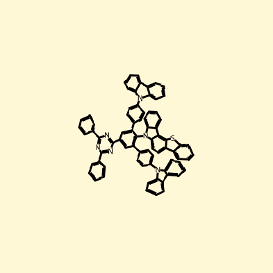 c1ccc(-c2nc(-c3ccccc3)nc(-c3cc(-c4ccc(-n5c6ccccc6c6ccccc65)cc4)c(-n4c5ccccc5c5c6sc7ccccc7c6ccc54)c(-c4ccc(-n5c6ccccc6c6ccccc65)cc4)c3)n2)cc1